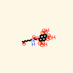 CC(=O)CCCCCNC(=O)COc1cc(S(=O)(=O)O)c2ccc3c(S(=O)(=O)O)cc(S(=O)(=O)O)c4ccc1c2c43